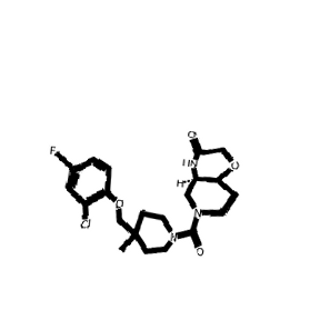 CC1(COc2ccc(F)cc2Cl)CCN(C(=O)N2CCC3OCC(=O)N[C@@H]3C2)CC1